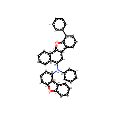 c1ccc(-c2cccc3c2oc2c4ccccc4c(N(c4ccccc4)c4cccc5oc6ccccc6c45)cc32)cc1